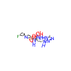 N#C/N=C(/NCCCC[C@H](NS(=O)(=O)c1ccc(-c2cccc(F)c2)nc1)C(=O)NO)NC1CC1